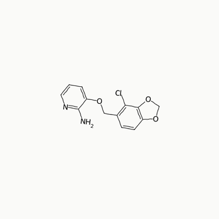 Nc1ncccc1OCc1ccc2c(c1Cl)OCO2